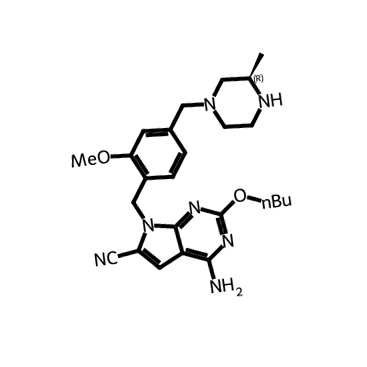 CCCCOc1nc(N)c2cc(C#N)n(Cc3ccc(CN4CCN[C@H](C)C4)cc3OC)c2n1